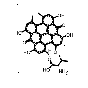 CC(C)[C@H](N)C(=O)O.Cc1cc(O)c2c(=O)c3c(O)cc(O)c4c5c(O)cc(O)c6c(=O)c7c(O)cc(C)c8c1c2c(c34)c(c78)c65